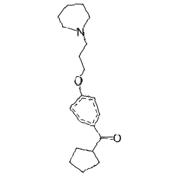 O=C(c1ccc(OCCCN2CCCCC2)cc1)C1CCCC1